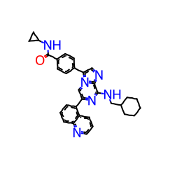 O=C(NC1CC1)c1ccc(-c2cnc3c(NCC4CCCCC4)nc(-c4cccc5ncccc45)cn23)cc1